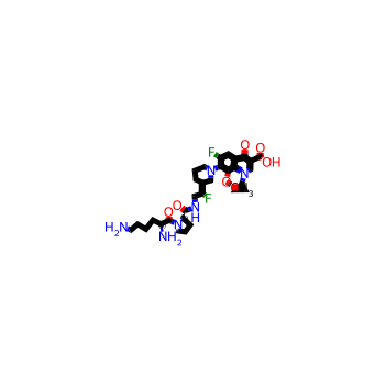 COc1c(N2CCCC(=C(F)CNC(=O)[C@@H]3CCCN3C(=O)[C@@H](N)CCCCN)C2)c(F)cc2c(=O)c(C(=O)O)cn(C3CC3)c12